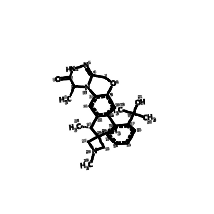 CC1C(=O)NN=C2COc3cc(-c4ccccc4C(C)(C)O)c([C@@H](C)C4(C)CN(C)C4)cc3N21